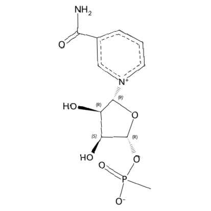 CP(=O)([O-])O[C@H]1O[C@@H]([n+]2cccc(C(N)=O)c2)[C@H](O)[C@@H]1O